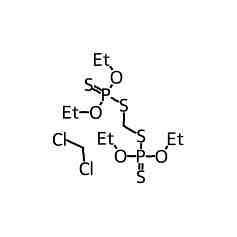 CCOP(=S)(OCC)SCSP(=S)(OCC)OCC.ClCCl